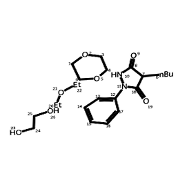 C1COCCO1.CCCCC1C(=O)NN(c2ccccc2)C1=O.CCOCC.OCCO